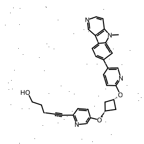 Cn1c2ccncc2c2ccc(-c3ccc(O[C@H]4C[C@H](Oc5ccc(C#CCCCO)nc5)C4)nc3)cc21